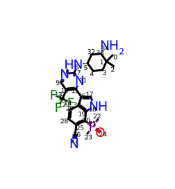 CC1(C)CC[C@H](Nc2ncc(C(F)(F)F)c(-c3c[nH]c4c(P(C)(C)=O)c(C#N)ccc34)n2)C[C@@H]1N